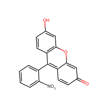 O=c1ccc2c(-c3ccccc3[N+](=O)[O-])c3ccc(O)cc3oc-2c1